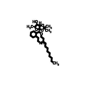 CCCCCCCCCCCCOC(C1CCCCC1CCN)[C@@]12O[C@@H](C)[C@@H](O)[C@@H]1OC(C)(C)O2